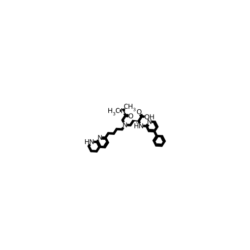 CN(C)C(=O)CN(CCCCc1ccc2c(n1)NCCC2)CC[C@H](Nc1cc(-c2ccccc2)ccn1)C(=O)O